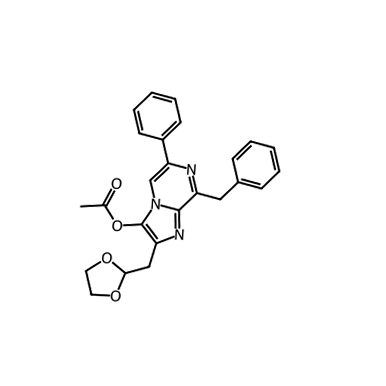 CC(=O)Oc1c(CC2OCCO2)nc2c(Cc3ccccc3)nc(-c3ccccc3)cn12